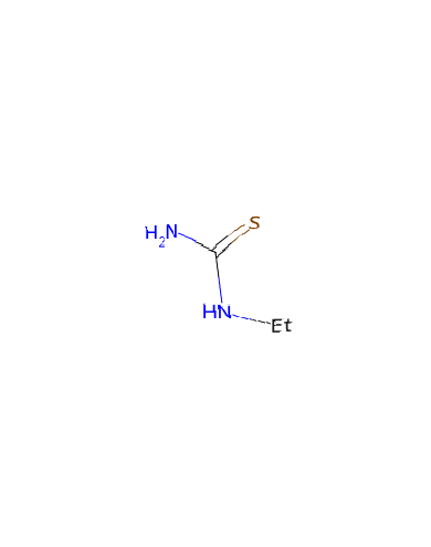 [CH2]CNC(N)=S